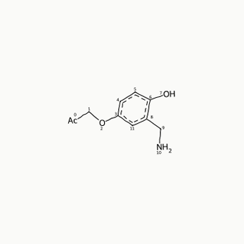 CC(=O)COc1ccc(O)c(CN)c1